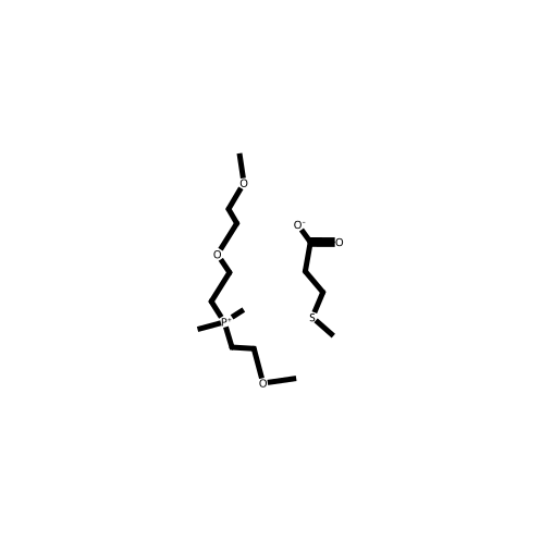 COCCOCC[P+](C)(C)CCOC.CSCCC(=O)[O-]